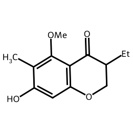 CCC1COc2cc(O)c(C)c(OC)c2C1=O